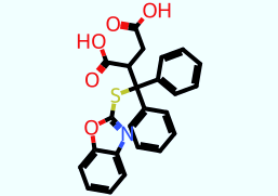 O=C(O)CC(C(=O)O)C(Sc1nc2ccccc2o1)(c1ccccc1)c1ccccc1